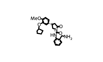 COc1ccc([C@@H]2CC(=O)N(C(=O)Nc3ccccc3CN)C2)cc1OC1CCCC1